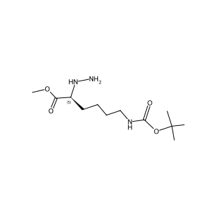 COC(=O)[C@H](CCCCNC(=O)OC(C)(C)C)NN